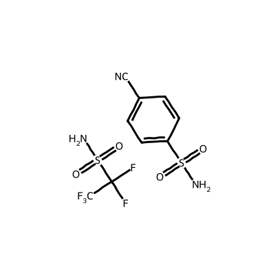 N#Cc1ccc(S(N)(=O)=O)cc1.NS(=O)(=O)C(F)(F)C(F)(F)F